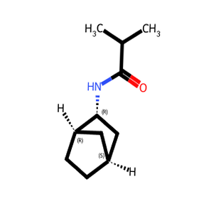 CC(C)C(=O)N[C@@H]1C[C@H]2CC[C@@H]1C2